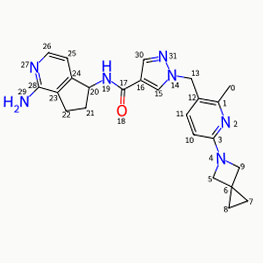 Cc1nc(N2CC3(CC3)C2)ccc1Cn1cc(C(=O)NC2CCc3c2ccnc3N)cn1